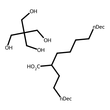 CCCCCCCCCCCCCCC(CCCCCCCCCCCC)C(=O)O.OCC(CO)(CO)CO